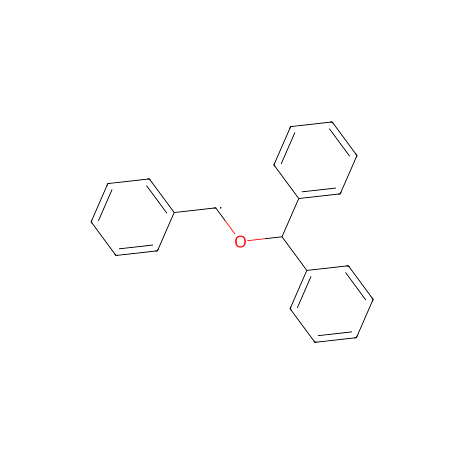 [CH](OC(c1ccccc1)c1ccccc1)c1ccccc1